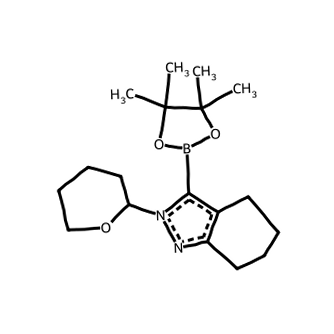 CC1(C)OB(c2c3c(nn2C2CCCCO2)CCCC3)OC1(C)C